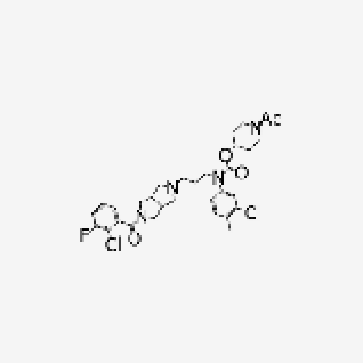 CC(=O)N1CCC(OC(=O)N(CCCN2CC3CN(C(=O)c4cccc(F)c4Cl)CC3C2)c2ccc(C)c(Cl)c2)CC1